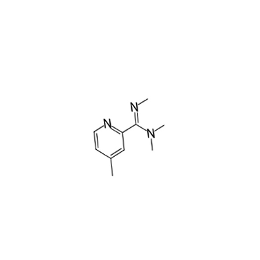 C/N=C(/c1cc(C)ccn1)N(C)C